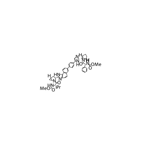 COC(=O)N[C@H](C(=O)N1C2C[C@@H]2C[C@H]1c1nc2ccc3cc(-c4ccc(-c5cnc([C@@H]6[C@H]7CC[C@H](C7)N6C(=O)[C@H](NC(=O)OC)c6ccccc6)[nH]5)cc4)ccc3c2[nH]1)C(C)C